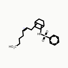 O=C(O)CCC/C=C\CC1C2CCC(CC2)C1NS(=O)(=O)c1ccccc1